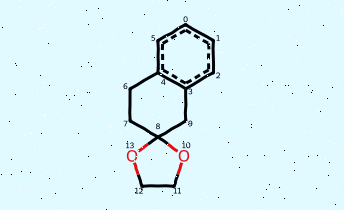 c1ccc2c(c1)CCC1(C2)OCCO1